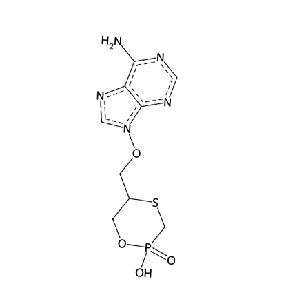 Nc1ncnc2c1ncn2OCC1COP(=O)(O)CS1